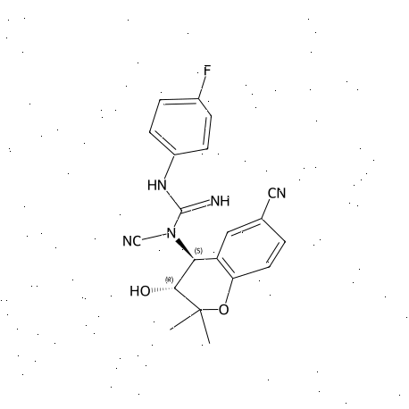 CC1(C)Oc2ccc(C#N)cc2[C@H](N(C#N)C(=N)Nc2ccc(F)cc2)[C@H]1O